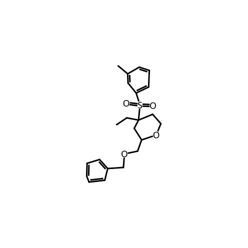 CCC1(S(=O)(=O)c2cccc(C)c2)CCOC(COCc2ccccc2)C1